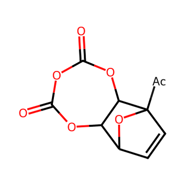 CC(=O)C12C=CC(O1)C1OC(=O)OC(=O)OC12